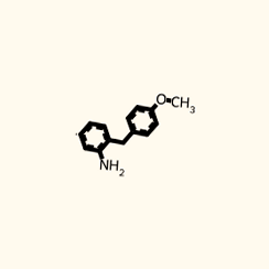 COc1ccc(Cc2cc[c]cc2N)cc1